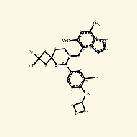 COc1cc(C)c2[nH]ccc2c1CN1CCC2(C[C@@H]1c1cnc(OC3COC3)c(F)c1)CC(F)(F)C2